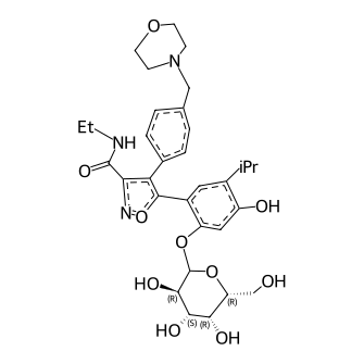 CCNC(=O)c1noc(-c2cc(C(C)C)c(O)cc2OC2O[C@H](CO)[C@H](O)[C@H](O)[C@H]2O)c1-c1ccc(CN2CCOCC2)cc1